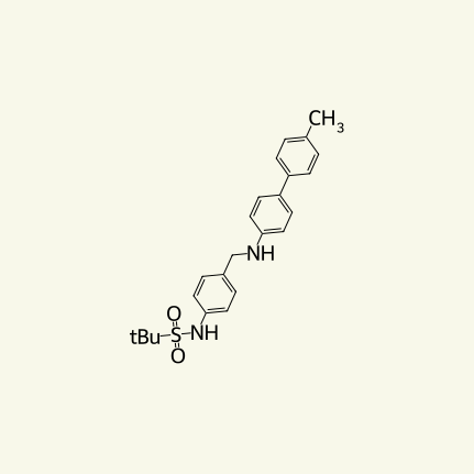 Cc1ccc(-c2ccc(NCc3ccc(NS(=O)(=O)C(C)(C)C)cc3)cc2)cc1